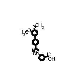 COc1ccc(-c2ccc(-c3cn(-c4cccc(C(=O)O)c4)nn3)cc2)cc1OC